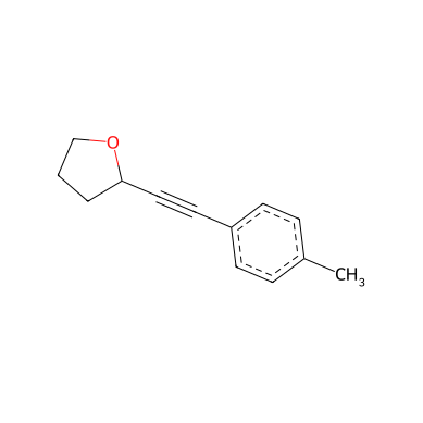 Cc1ccc(C#CC2CCCO2)cc1